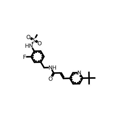 CC(C)(C)c1ccc(C=CC(=O)NCc2ccc(NS(C)(=O)=O)c(F)c2)cn1